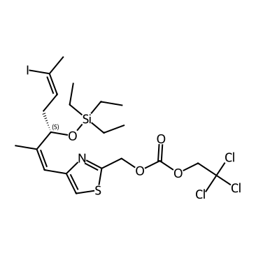 CC[Si](CC)(CC)O[C@@H](CC=C(C)I)C(C)=Cc1csc(COC(=O)OCC(Cl)(Cl)Cl)n1